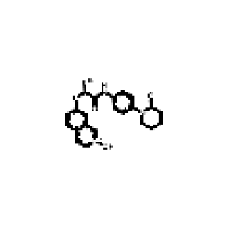 CCCC(Oc1ccc2cc[n+](O)cc2c1)C(=O)Nc1ccc(N2CCCCC2=O)cc1